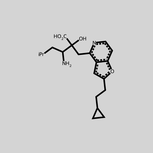 CC(C)CC(N)C(O)(Cc1nccc2oc(CCC3CC3)cc12)C(=O)O